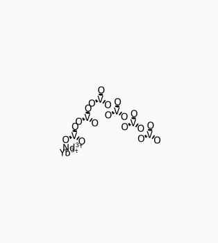 [Nd+3].[O]=[V](=[O])[O-].[O]=[V](=[O])[O-].[O]=[V](=[O])[O-].[O]=[V](=[O])[O-].[O]=[V](=[O])[O-].[O]=[V](=[O])[O-].[Yb+3]